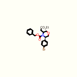 CCOC(=O)CC1COC[C@@H](c2ccc(Br)cc2)N1C(=O)OCc1ccccc1